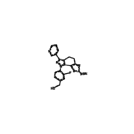 CC(=O)Nc1nc2c(s1)-c1c(c(-c3cccnc3)nn1-c1ccc(CO)cc1F)CC2